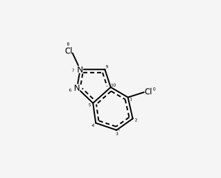 Clc1c[c]cc2nn(Cl)cc12